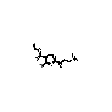 CCOC(=O)c1cnc(N(C)CCN(C)C)nc1Cl